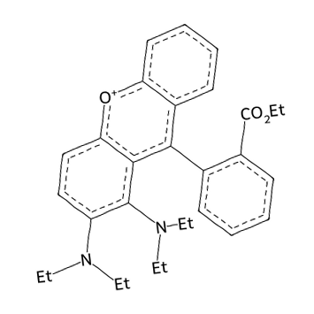 CCOC(=O)c1ccccc1-c1c2ccccc2[o+]c2ccc(N(CC)CC)c(N(CC)CC)c12